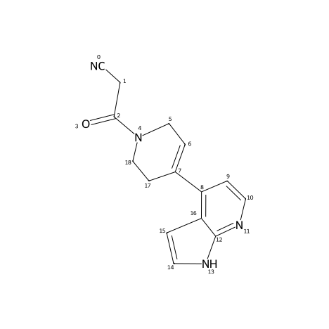 N#CCC(=O)N1CC=C(c2ccnc3[nH]ccc23)CC1